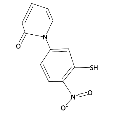 O=c1ccccn1-c1ccc([N+](=O)[O-])c(S)c1